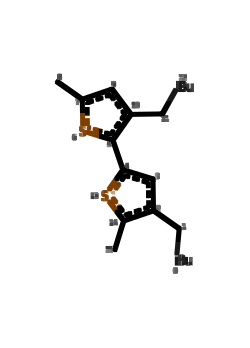 CCC(C)Cc1cc(-c2sc(C)cc2CC(C)CC)sc1C